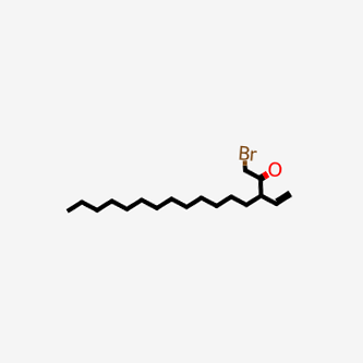 C=CC(CCCCCCCCCCCCC)C(=O)CBr